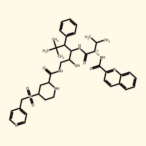 CC(C)[C@H](NC(=O)c1ccc2ccccc2n1)C(=O)NC(C(O)CNC(=O)C1CC(S(=O)(=O)Cc2ccncc2)CCN1)C(c1ccccc1)C(C)(C)C